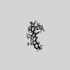 Cc1[nH]c(/C=C2\C(=O)Nc3ccc(F)cc32)c(C)c1C(=O)NC(C(=O)N(C)C)[C@@H](C)O